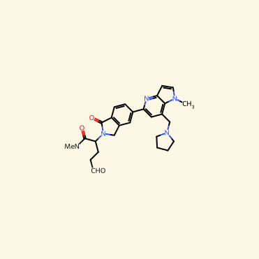 CNC(=O)C(CCC=O)N1Cc2cc(-c3cc(CN4CCCC4)c4c(ccn4C)n3)ccc2C1=O